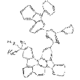 CC(C)(C)c1ccc2c(c1)-c1cccc3ccc4c(c13)N2c1cc(-c2nc(-c3ccccc3)nc(-c3ccc5c6ccccc6n(-c6ccccc6)c5c3)n2)cc2c1B4c1ccccc1-2